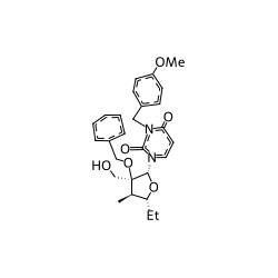 CC[C@H]1O[C@@H](n2ccc(=O)n(Cc3ccc(OC)cc3)c2=O)[C@](CO)(OCc2ccccc2)[C@@H]1C